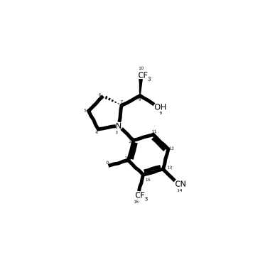 Cc1c(N2CCC[C@@H]2[C@H](O)C(F)(F)F)ccc(C#N)c1C(F)(F)F